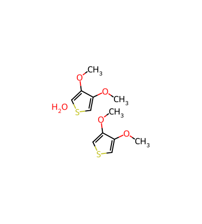 COc1cscc1OC.COc1cscc1OC.O